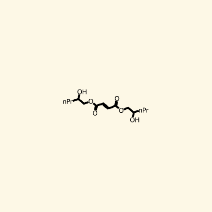 CCCC(O)COC(=O)/C=C/C(=O)OCC(O)CCC